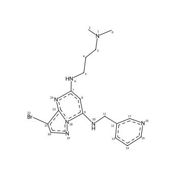 CN(C)CCCNc1cc(NCc2cccnc2)n2ncc(Br)c2n1